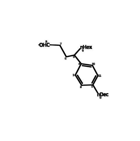 CCCCCCCCCCc1ccc(C(CC[C]=O)CCCCCC)cc1